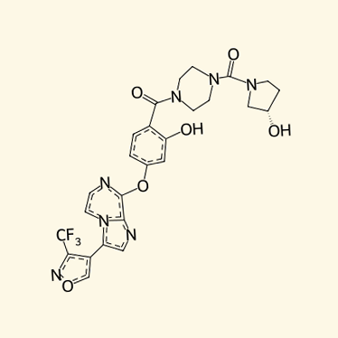 O=C(c1ccc(Oc2nccn3c(-c4conc4C(F)(F)F)cnc23)cc1O)N1CCN(C(=O)N2CC[C@H](O)C2)CC1